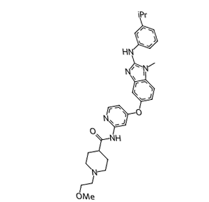 COCCN1CCC(C(=O)Nc2cc(Oc3ccc4c(c3)nc(Nc3cccc(C(C)C)c3)n4C)ccn2)CC1